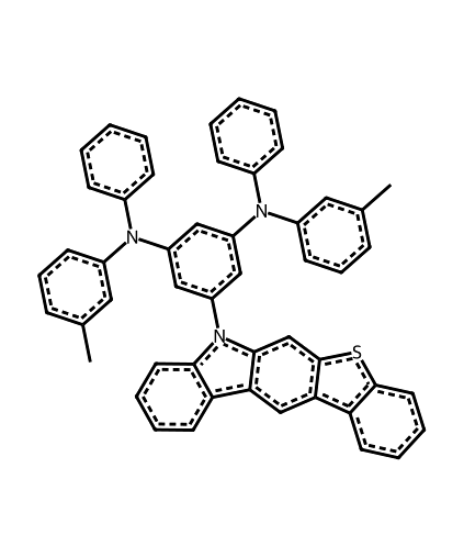 Cc1cccc(N(c2ccccc2)c2cc(N(c3ccccc3)c3cccc(C)c3)cc(-n3c4ccccc4c4cc5c(cc43)sc3ccccc35)c2)c1